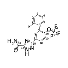 Cc1ccccc1-c1cc(-c2n[nH]c(C(N)=O)n2)ccc1OC(F)(F)F